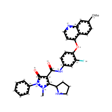 COc1ccc2c(Oc3ccc(NC(=O)c4c(C5CCCN5)n(C)n(-c5ccccc5)c4=O)cc3F)ccnc2c1